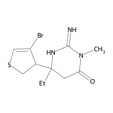 CCC1(C2CSC=C2Br)CC(=O)N(C)C(=N)N1